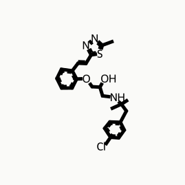 Cc1nnc(C=Cc2ccccc2OCC(O)CNC(C)(C)Cc2ccc(Cl)cc2)s1